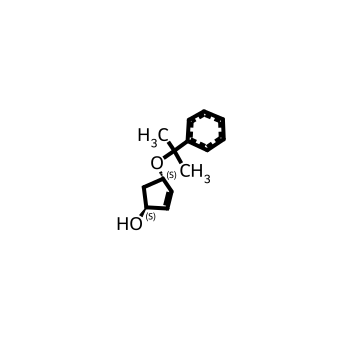 CC(C)(O[C@@H]1C=C[C@@H](O)C1)c1ccccc1